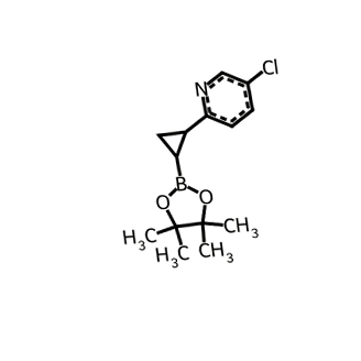 CC1(C)OB(C2CC2c2ccc(Cl)cn2)OC1(C)C